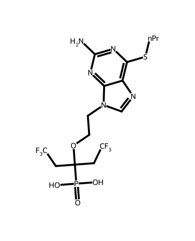 CCCSc1nc(N)nc2c1ncn2CCOC(CC(F)(F)F)(CC(F)(F)F)P(=O)(O)O